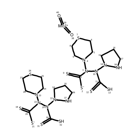 S=C([S-])N(N1CCSCC1)N(C(=S)S)N1CCCN1.S=C([S-])N(N1CCSCC1)N(C(=S)S)N1CCCN1.[O]=[Mo+2]=[O]